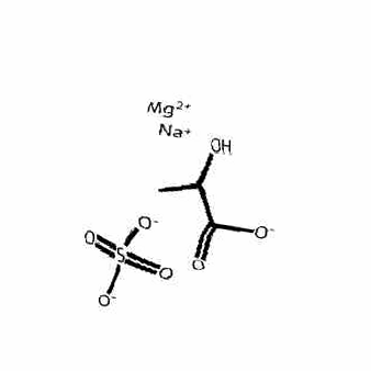 CC(O)C(=O)[O-].O=S(=O)([O-])[O-].[Mg+2].[Na+]